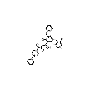 O=C(C=C(O)c1cc(Cc2c(F)cc(F)cc2F)cn(Cc2ccccc2)c1=O)C(=O)N1CCN(c2ccccc2)CC1